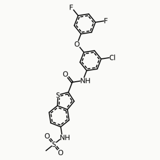 CS(=O)(=O)Nc1ccc2sc(C(=O)Nc3cc(Cl)cc(Oc4cc(F)cc(F)c4)c3)cc2c1